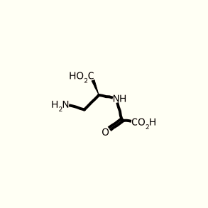 NC[C@H](NC(=O)C(=O)O)C(=O)O